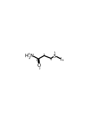 NC(=O)CCSI